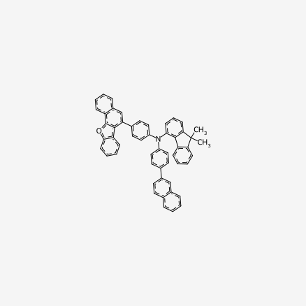 CC1(C)c2ccccc2-c2c(N(c3ccc(-c4ccc5ccccc5c4)cc3)c3ccc(-c4cc5ccccc5c5oc6ccccc6c45)cc3)cccc21